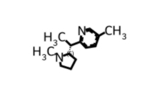 Cc1ccc(C(C)[C@@H]2CCCN2C)nc1